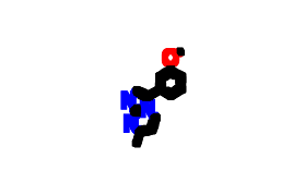 COc1cccc(-c2cnc3nc(C)ccn23)c1